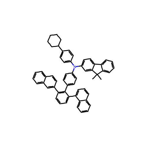 CC1(C)c2ccccc2-c2ccc(N(c3ccc(-c4c(-c5ccc6ccccc6c5)cccc4-c4cccc5ccccc45)cc3)c3ccc(C4CCCCC4)cc3)cc21